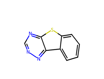 c1ccc2c(c1)sc1ncnnc12